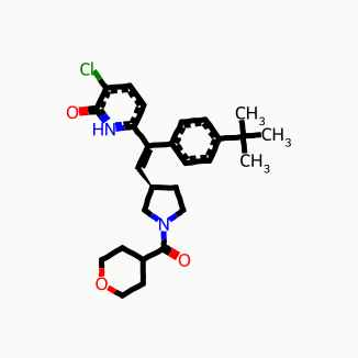 CC(C)(C)c1ccc(/C(=C\[C@H]2CCN(C(=O)C3CCOCC3)C2)c2ccc(Cl)c(=O)[nH]2)cc1